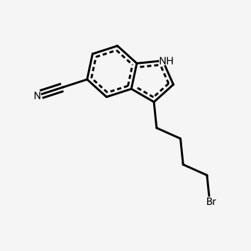 N#Cc1ccc2[nH]cc(CCCCBr)c2c1